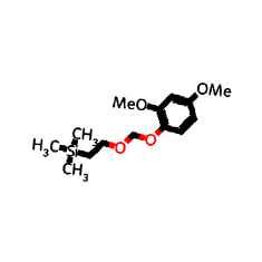 COc1ccc(OCOCC[Si](C)(C)C)c(OC)c1